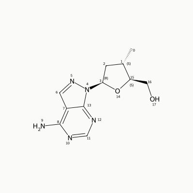 C[C@H]1C[C@H](n2ncc3c(N)ncnc32)O[C@@H]1CO